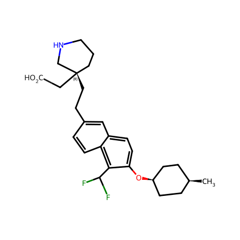 C[C@H]1CC[C@@H](Oc2ccc3cc(CC[C@]4(CC(=O)O)CCCNC4)ccc3c2C(F)F)CC1